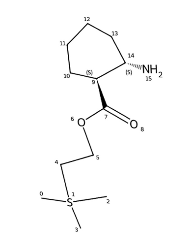 CS(C)(C)CCOC(=O)[C@H]1CCCC[C@@H]1N